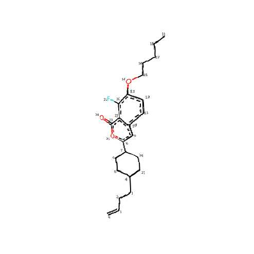 C=CCCC1CCC(c2cc3ccc(OCCCCC)c(F)c3c(=O)o2)CC1